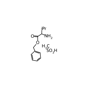 CC(C)C(N)C(=O)OCc1ccccc1.CS(=O)(=O)O